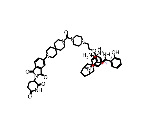 NC(N)=C(/C=C(\N)c1ccccc1O)N1CC2CCC(C1)N2c1cccc(OCCN2CCN(C(=O)N3CCC4(CC3)CCN(c3ccc5c(c3)C(=O)N(C3CCC(=O)NC3=O)C5=O)CC4)CC2)c1